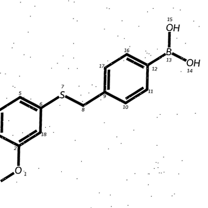 COc1cccc(SCc2ccc(B(O)O)cc2)c1